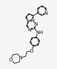 c1cncc(-c2ccc3cnc(Nc4ccc(OCCN5CCOCC5)cc4)nn23)c1